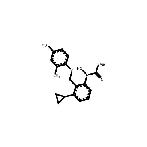 CSC(=O)N(O)c1cccc(C2CC2)c1COc1ccc(C)cc1C